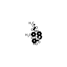 CCOC(=O)C(=O)Nc1cc(C)c(Oc2ccc(O)c(C(=O)N3CCc4ccccc4C3)c2)c(C)c1